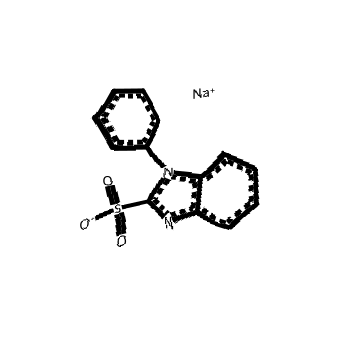 O=S(=O)([O-])c1nc2ccccc2n1-c1ccccc1.[Na+]